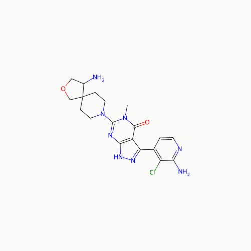 Cn1c(N2CCC3(CC2)COCC3N)nc2[nH]nc(-c3ccnc(N)c3Cl)c2c1=O